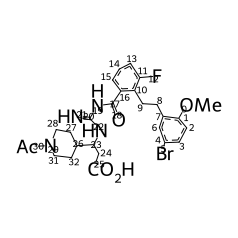 COc1ccc(Br)cc1CCc1c(F)cccc1C(=O)NC(=N)NC(CC(=O)O)C1CCN(C(C)=O)CC1